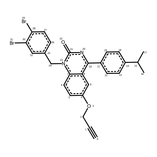 C#CCOc1ccc2c(c1)c(-c1ccc(C(C)C)cc1)nc(=O)n2Cc1ccc(Br)c(Br)c1